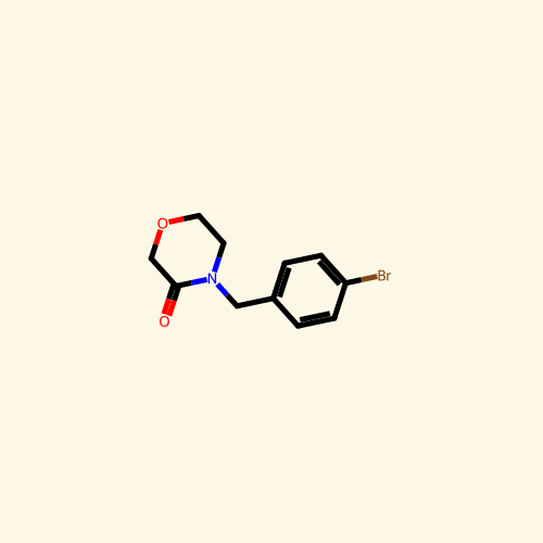 O=C1COCCN1Cc1ccc(Br)cc1